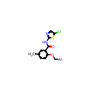 CC(=O)COc1ccc(C)cc1C(=O)Nc1ncc(Cl)s1